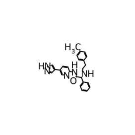 Cc1ccc(CCNC(C(=O)Nc2ccc(-c3cn[nH]c3)cn2)c2ccccc2)cc1